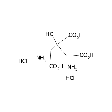 Cl.Cl.N.N.O=C(O)CC(O)(CC(=O)O)C(=O)O